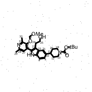 COCOc1c(-c2[nH]c3ccc(C4CCN(C(=O)OC(C)(C)C)CC4)cc3c2CCO)cc(C)nc1C